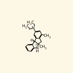 CCN(CC)c1cc(C)c2c(c1)[C@H]1c3ccccc3N[C@@]1(C)C2